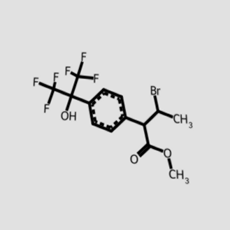 COC(=O)C(c1ccc(C(O)(C(F)(F)F)C(F)(F)F)cc1)C(C)Br